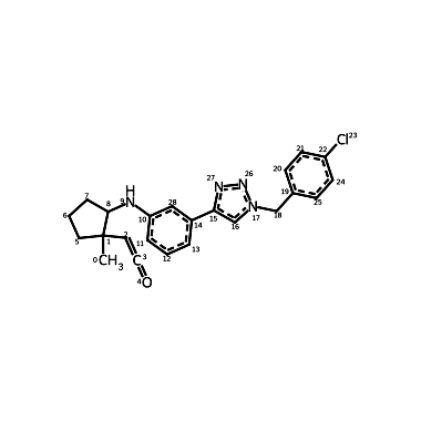 CC1(C=C=O)CCCC1Nc1cccc(-c2cn(Cc3ccc(Cl)cc3)nn2)c1